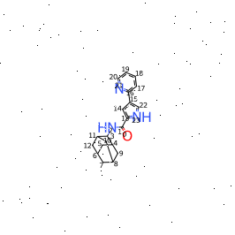 O=C(NC1C2CC3CC(C2)CC1C3)c1cc(-c2ccccn2)c[nH]1